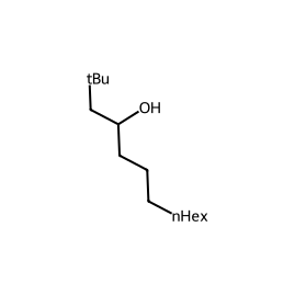 CCCCCCCCCC(O)CC(C)(C)C